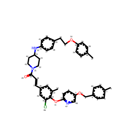 Cc1ccc(COc2ccc(Oc3c(C)cc(C=CC(=O)N4CCC(Nc5ccc(CCOc6ccc(C)cc6)cc5)CC4)cc3Cl)nc2)cc1